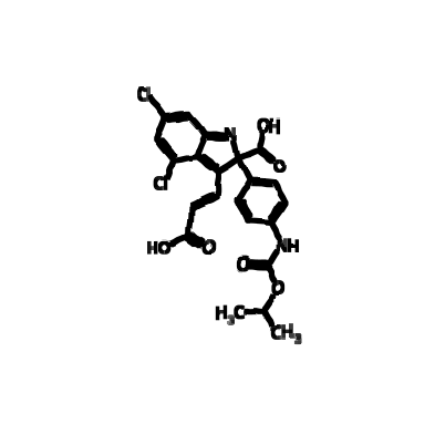 CC(C)OC(=O)Nc1ccc(C2(C(=O)O)N=c3cc(Cl)cc(Cl)c3=C2C=CC(=O)O)cc1